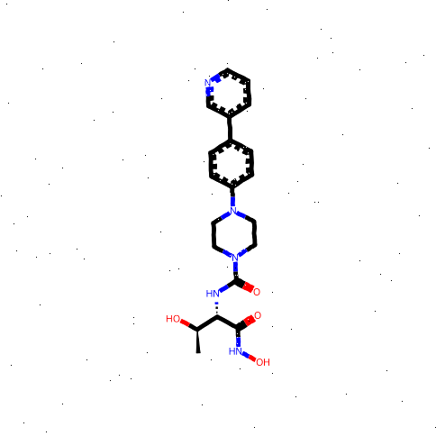 C[C@@H](O)[C@H](NC(=O)N1CCN(c2ccc(-c3cccnc3)cc2)CC1)C(=O)NO